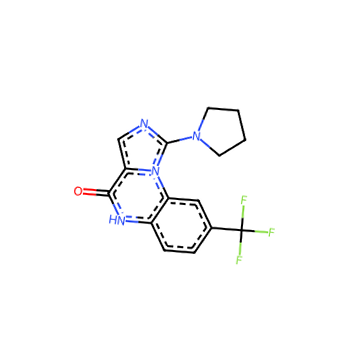 O=c1[nH]c2ccc(C(F)(F)F)cc2n2c(N3CCCC3)ncc12